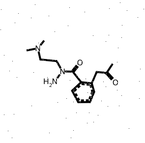 CC(=O)Cc1ccccc1C(=O)N(N)CCN(C)C